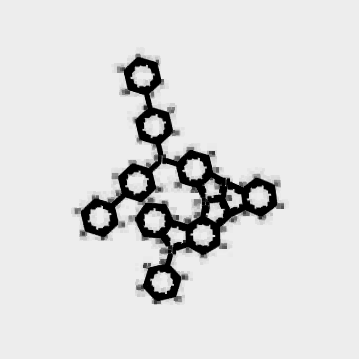 c1ccc(-c2ccc(N(c3ccc(-c4ccccc4)cc3)c3ccc4c(c3)n3c5c(ccc6c5c5ccccc5n6-c5ccccc5)c5c6ccccc6n4c53)cc2)cc1